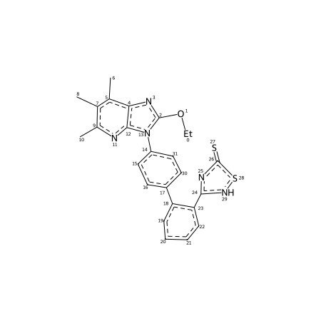 CCOc1nc2c(C)c(C)c(C)nc2n1-c1ccc(-c2ccccc2-c2nc(=S)s[nH]2)cc1